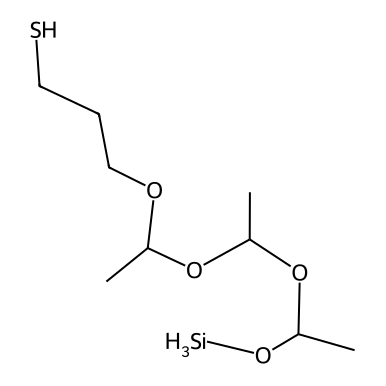 CC(O[SiH3])OC(C)OC(C)OCCCS